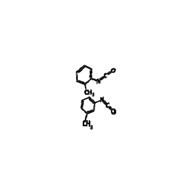 Cc1cccc(N=C=O)c1.Cc1ccccc1N=C=O